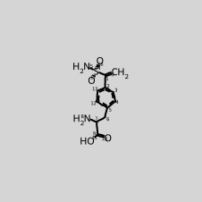 C=C(c1ccc(CC(N)C(=O)O)cc1)S(N)(=O)=O